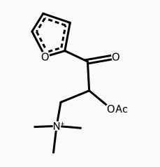 CC(=O)OC(C[N+](C)(C)C)C(=O)c1ccco1